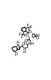 COc1cccc2[nH]c(C(=O)N[C@@H](C)C(=O)N[C@@H](C[C@@H]3CCNC3=O)C(=O)COC(=O)c3c(C(F)(F)F)cccc3C(F)(F)F)cc12